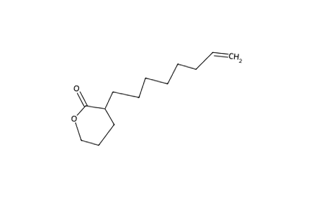 C=CCCCCCCC1CCCOC1=O